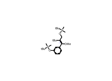 CO/C(=C(\CO[Si](C)(C)C(C)(C)C)C(C)(C)C)c1cccc(O[Si](C)(C)C(C)(C)C)c1